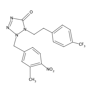 Cc1cc(Cn2nnc(=O)n2CCc2ccc(C(F)(F)F)cc2)ccc1[N+](=O)[O-]